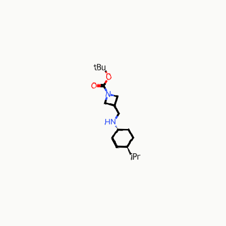 CC(C)[C@H]1CC[C@H](NCC2CN(C(=O)OC(C)(C)C)C2)CC1